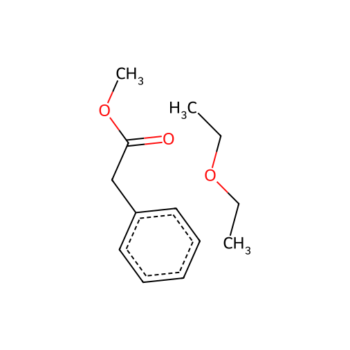 CCOCC.COC(=O)Cc1ccccc1